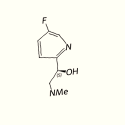 CNC[C@H](O)c1ccc(F)cn1